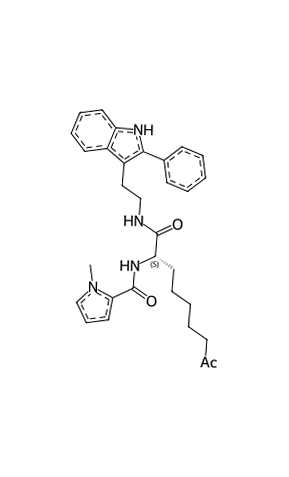 CC(=O)CCCCC[C@H](NC(=O)c1cccn1C)C(=O)NCCc1c(-c2ccccc2)[nH]c2ccccc12